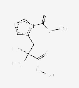 CC(C)(C)OC(=O)n1cncc1CC(N)(C(=O)O)C(=O)OC(C)(C)C